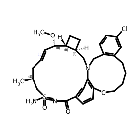 CO[C@H]1/C=C/C[C@H](C)CS(N)(=O)=NC(=O)c2ccc3c(c2)N(Cc2ccc(Cl)cc2CCCCO3)C[C@@H]2CC[C@H]21